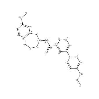 CCOc1ccc(-c2cncc(C(=O)NN3CCCc4ccc(OC)cc4C3)n2)cc1